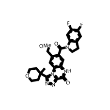 COCc1cc2c(cc1C(=O)N1CCc3cc(F)c(F)cc31)[nH]c(=O)c1nnc(C3(C)CCOCC3)n12